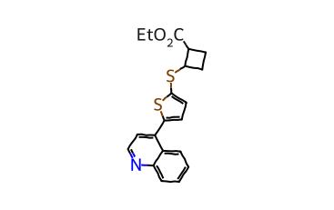 CCOC(=O)C1CCC1Sc1ccc(-c2ccnc3ccccc23)s1